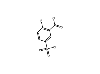 O=C(Cl)c1cc(S(=O)(=O)Cl)ccc1F